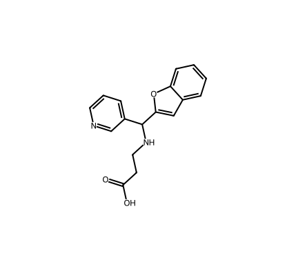 O=C(O)CCNC(c1cccnc1)c1cc2ccccc2o1